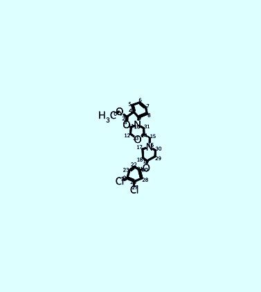 COC(=O)c1ccccc1N1CCO[C@H](CN2CCC(Oc3ccc(Cl)c(Cl)c3)CC2)C1